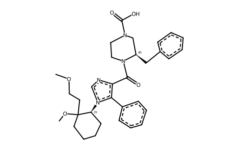 COCCC1(OC)CCCC[C@@H]1n1cnc(C(=O)N2CCN(C(=O)O)C[C@H]2Cc2ccccc2)c1-c1ccccc1